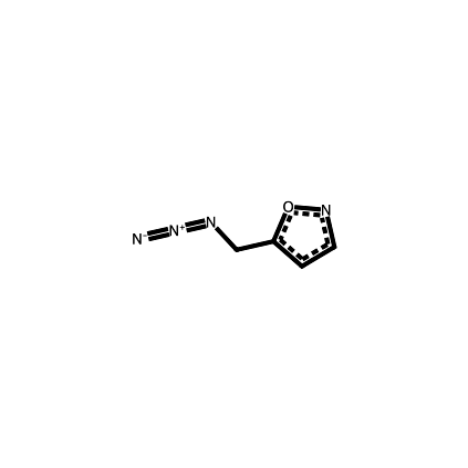 [N-]=[N+]=NCc1ccno1